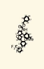 COc1ccc(-n2ccnc2C(F)(F)F)cc1[C@H]1CO[C@]2(CC[C@H](NC(=O)OCc3ccccc3)[C@H]2c2ccc(F)cc2)C1